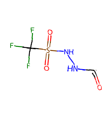 O=[C]NNS(=O)(=O)C(F)(F)F